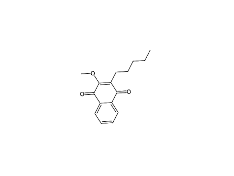 CCCCCC1=C(OC)C(=O)c2ccccc2C1=O